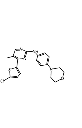 Cc1cnc(Nc2ccc(N3CCOCC3)cc2)nc1-c1ccc(Cl)s1